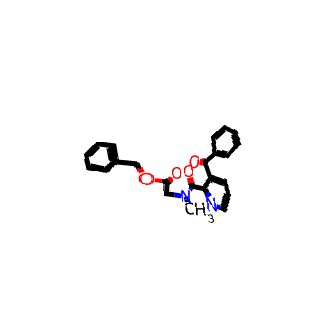 CN(CC(=O)OCc1ccccc1)C(=O)c1ncccc1C(=O)c1ccccc1